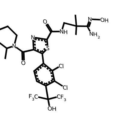 CC1CCCCN1C(=O)c1nc(C(=O)NCC(C)(C)C(N)=NO)sc1-c1ccc(C(O)(C(F)(F)F)C(F)(F)F)c(Cl)c1Cl